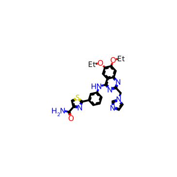 CCOc1cc2nc(Cn3ccnc3)nc(Nc3cccc(-c4nc(C(N)=O)cs4)c3)c2cc1OCC